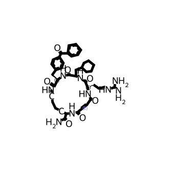 NC(=O)C1CCCCNC(=O)[C@@H](Cc2ccc(C(=O)c3ccccc3)cc2)NC(=O)C(CC2CCCCC2)NC(=O)[C@H](CCCNC(N)N)NC(=O)/C=C/C(=O)N1